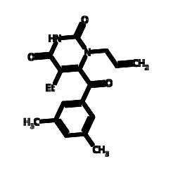 C=CCn1c(C(=O)c2cc(C)cc(C)c2)c(CC)c(=O)[nH]c1=O